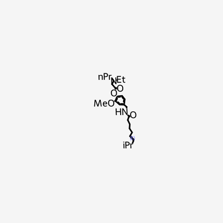 CCCN(CC)CC(=O)Oc1ccc(CNC(=O)CCCC/C=C/C(C)C)cc1OC